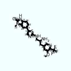 COc1cc(CC(N)CNc2ncc(-c3ccc4[nH]c(=O)n(C)c4c3)s2)cnc1C(F)(F)F